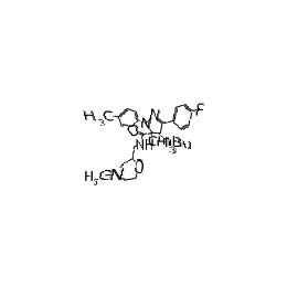 CCCCC1C(c2ccc(F)cc2)=NN(c2ccc(C)cc2)C1(C)C(=O)NCC1CN(C)CCO1